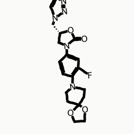 O=C1O[C@@H](Cn2ccnn2)CN1c1ccc(N2CCC3(CC2)OCCO3)c(F)c1